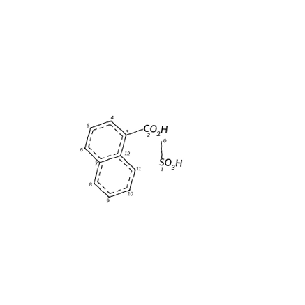 CS(=O)(=O)O.O=C(O)c1cccc2ccccc12